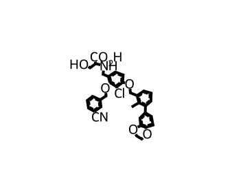 Cc1c(COc2ccc(CNC(CO)C(=O)O)c(OCc3cccc(C#N)c3)c2Cl)cccc1-c1ccc2c(c1)OCCO2